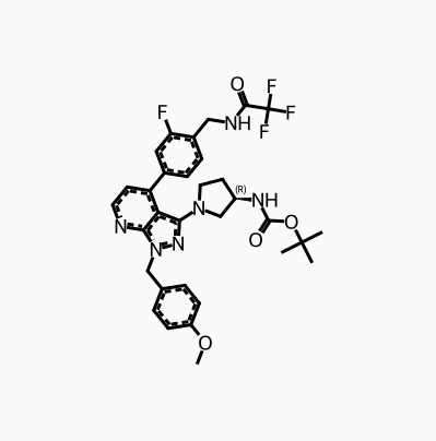 COc1ccc(Cn2nc(N3CC[C@@H](NC(=O)OC(C)(C)C)C3)c3c(-c4ccc(CNC(=O)C(F)(F)F)c(F)c4)ccnc32)cc1